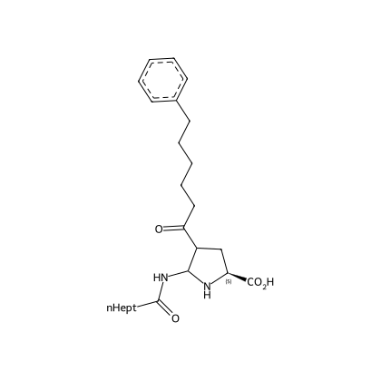 CCCCCCCC(=O)NC1N[C@H](C(=O)O)CC1C(=O)CCCCCc1ccccc1